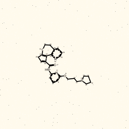 O=C(Nc1cccc(OCCCN2CCCC2)n1)C1=CCC2=C1c1ncccc1CCC2